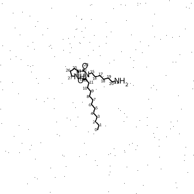 CCCCCCCCCCCCC(=O)N(CCCCCCN)C(=O)[C@@H]1CCCN1